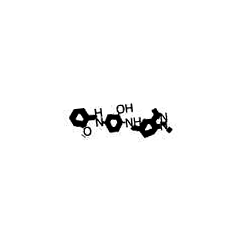 COc1ccccc1CN[C@@H]1CC[C@@H](NCc2ccc3c(c2)c(C)nn3C)[C@@H](O)C1